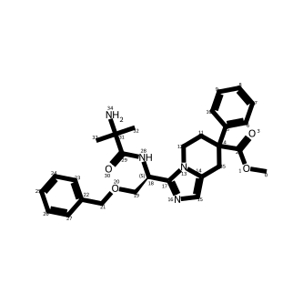 COC(=O)C1(c2ccccc2)CCn2c(cnc2[C@@H](COCc2ccccc2)NC(=O)C(C)(C)N)C1